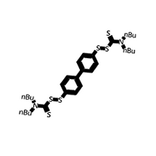 CCCCN(CCCC)C(=S)SSc1ccc(-c2ccc(SSC(=S)N(CCCC)CCCC)cc2)cc1